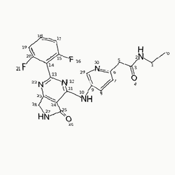 CCNC(=O)Cc1ccc(Nc2nc(-c3c(F)cccc3F)nc3c2C(=O)NC3)cn1